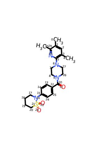 Cc1cc(C)c(N2CCN(C(=O)c3ccc(N4CCCCS4(=O)=O)cc3)CC2)nc1C